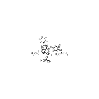 CCCc1nn(C)c2c(NCc3ccc(OC(C)C)c(Cl)c3)nc(C3CCCCC3)nc12.O=C(O)O